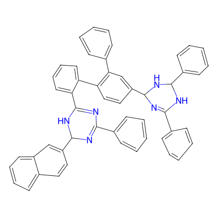 c1ccc(C2=NC(c3ccc4ccccc4c3)NC(c3ccccc3-c3ccc(C4N=C(c5ccccc5)NC(c5ccccc5)N4)cc3-c3ccccc3)=N2)cc1